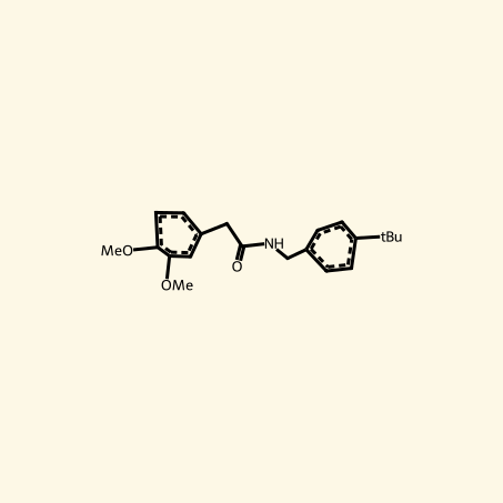 COc1ccc(CC(=O)NCc2ccc(C(C)(C)C)cc2)cc1OC